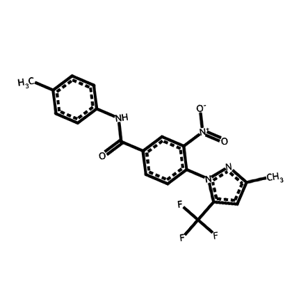 Cc1ccc(NC(=O)c2ccc(-n3nc(C)cc3C(F)(F)F)c([N+](=O)[O-])c2)cc1